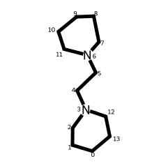 C1CCN(CCN2CCCCC2)CC1